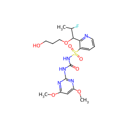 COc1cc(OC)nc(NC(=O)NS(=O)(=O)c2cccnc2C(OCCCO)C(C)F)n1